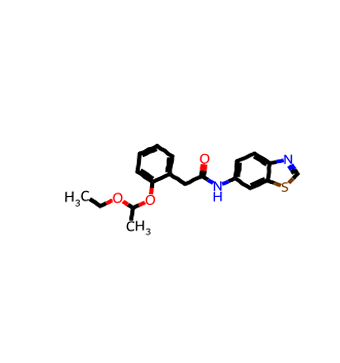 CCOC(C)Oc1ccccc1CC(=O)Nc1ccc2ncsc2c1